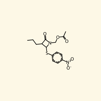 CCCC1C(=O)N(COC(C)=O)C1Sc1ccc([N+](=O)[O-])cc1